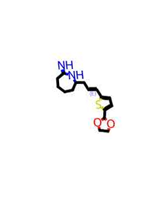 N=C1CCCCC(C/C=C/c2ccc(C3OCCO3)s2)N1